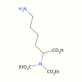 CCOC(=O)N(C(=O)OCC)C(CCCCN)C(=O)O